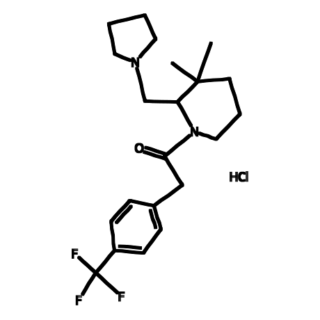 CC1(C)CCCN(C(=O)Cc2ccc(C(F)(F)F)cc2)C1CN1CCCC1.Cl